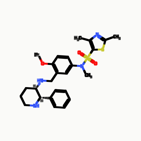 Cc1nc(C)c(S(=O)(=O)N(C)c2ccc(OC(C)C)c(CN[C@H]3CCCN[C@H]3c3ccccc3)c2)s1